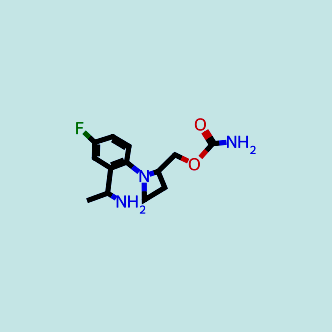 CC(N)c1cc(F)ccc1N1CCC1COC(N)=O